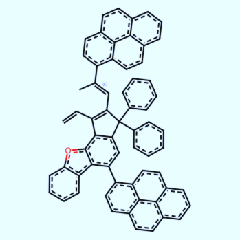 C=CC1=C(/C=C(\C)c2ccc3ccc4cccc5ccc2c3c45)C(c2ccccc2)(c2ccccc2)c2cc(-c3ccc4ccc5cccc6ccc3c4c56)c3c(oc4ccccc43)c21